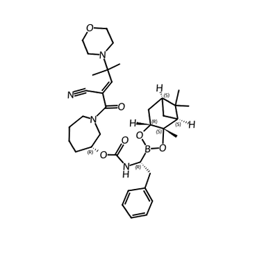 CC1(C)[C@@H]2C[C@H]3OB([C@H](Cc4ccccc4)NC(=O)O[C@@H]4CCCCN(C(=O)C(C#N)=CC(C)(C)N5CCOCC5)C4)O[C@@]3(C)[C@H]1C2